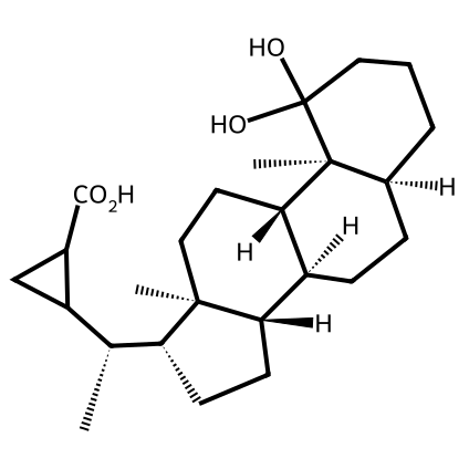 C[C@H](C1CC1C(=O)O)[C@H]1CC[C@H]2[C@@H]3CC[C@@H]4CCCC(O)(O)[C@]4(C)[C@H]3CC[C@]12C